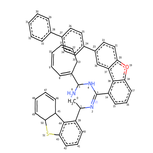 CC(/N=C(\NC(N)C1=CC=CC=CC1)c1cccc2oc3ccc(-c4ccc(-c5ccccc5)cc4)cc3c12)c1cccc2c1C1C=CC=CC1S2